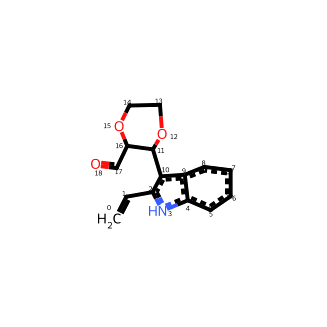 C=Cc1[nH]c2ccccc2c1C1OCCOC1C=O